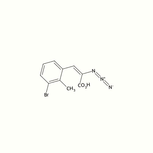 Cc1c(Br)cccc1/C=C(/N=[N+]=[N-])C(=O)O